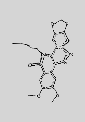 CCCCn1c(=O)c2cc(OC)c(OC)cc2c2nnc3cc4c(cc3c21)OCO4